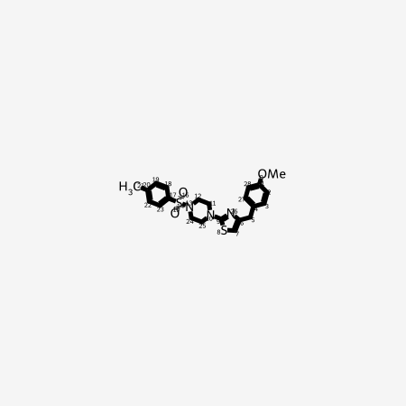 COc1ccc(Cc2csc(N3CCN(S(=O)(=O)c4ccc(C)cc4)CC3)n2)cc1